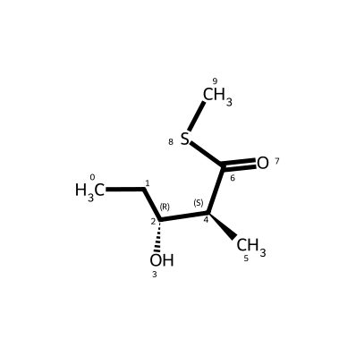 CC[C@@H](O)[C@H](C)C(=O)SC